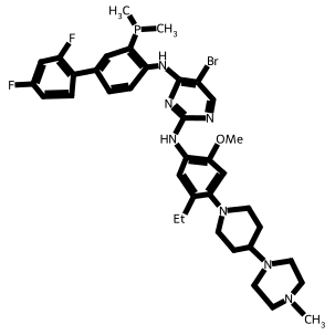 CCc1cc(Nc2ncc(Br)c(Nc3ccc(-c4ccc(F)cc4F)cc3P(C)C)n2)c(OC)cc1N1CCC(N2CCN(C)CC2)CC1